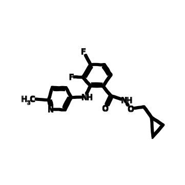 Cc1ccc(Nc2c(C(=O)NOCC3CC3)ccc(F)c2F)cn1